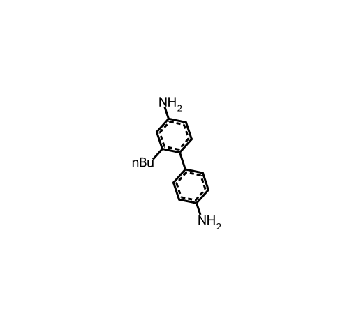 CCCCc1cc(N)ccc1-c1ccc(N)cc1